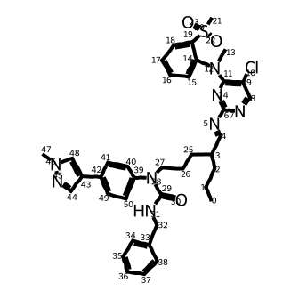 CCCC(/C=N/c1ncc(Cl)c(N(C)c2ccccc2S(C)(=O)=O)n1)CCCN(C(=O)NCc1ccccc1)c1ccc(-c2cnn(C)c2)cc1